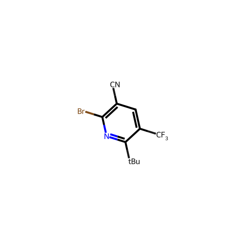 CC(C)(C)c1nc(Br)c(C#N)cc1C(F)(F)F